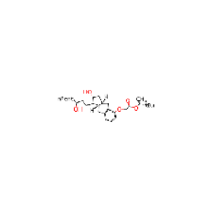 CCCCC[C@H](O)CC[C@@H]1[C@H]2Cc3cccc(OCC(=O)O[C@H](C)C(C)(C)C)c3C[C@H]2C[C@H]1O